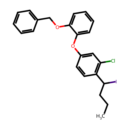 CCCC(I)c1ccc(Oc2ccccc2OCc2ccccc2)cc1Cl